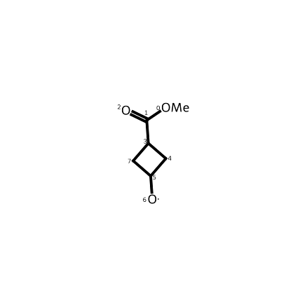 COC(=O)C1CC([O])C1